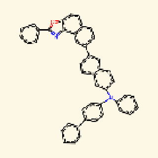 c1ccc(-c2ccc(N(c3ccccc3)c3ccc4cc(-c5ccc6ccc7oc(-c8ccccc8)nc7c6c5)ccc4c3)cc2)cc1